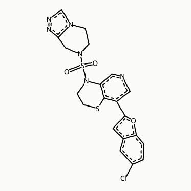 O=S(=O)(N1CCn2cnnc2C1)N1CCSc2c(-c3cc4cc(Cl)ccc4o3)cncc21